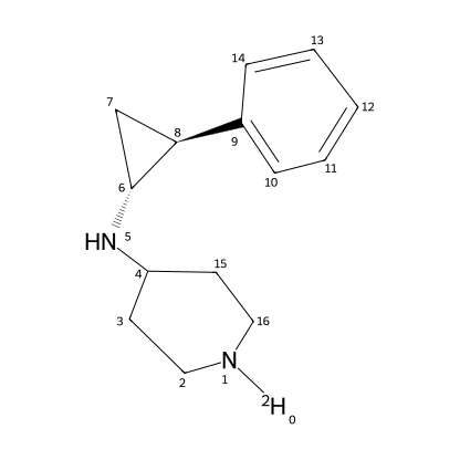 [2H]N1CCC(N[C@@H]2C[C@H]2c2ccccc2)CC1